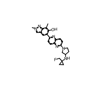 Cc1c(O)c(-c2ccc3nc(N4CCC(NC5(CF)CC5)C4)ccc3n2)cc2cn(C)nc12